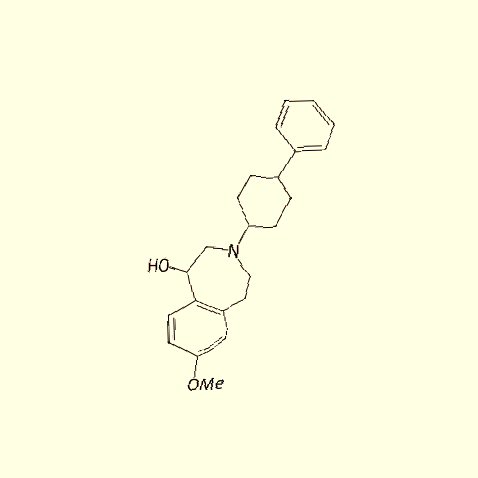 COc1ccc2c(c1)CCN(C1CCC(c3ccccc3)CC1)CC2O